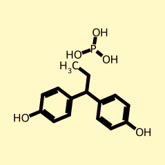 CCC(c1ccc(O)cc1)c1ccc(O)cc1.OP(O)O